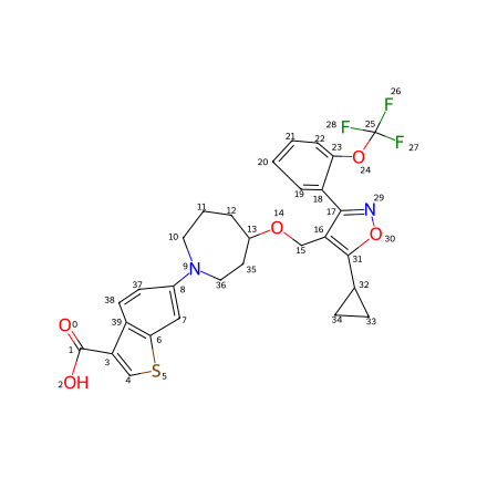 O=C(O)c1csc2cc(N3CCCC(OCc4c(-c5ccccc5OC(F)(F)F)noc4C4CC4)CC3)ccc12